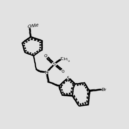 COc1ccc(CN(Cc2cc3ccc(Br)cc3s2)S(C)(=O)=O)cc1